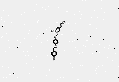 OCCNC[C@@H](O)COc1ccc(OCc2ccc(F)cc2)cc1